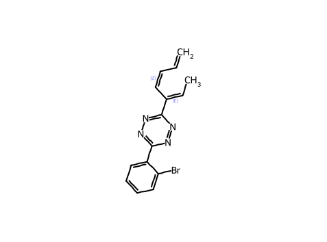 C=C/C=C\C(=C/C)c1nnc(-c2ccccc2Br)nn1